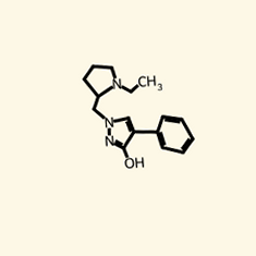 CCN1CCCC1Cn1cc(-c2ccccc2)c(O)n1